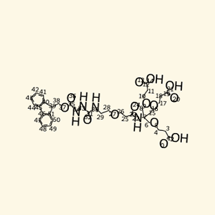 O=C(O)CCOCC(COCCC(=O)O)(COCCC(=O)O)NC(=O)CCOCCNC(=O)NNC(=O)OCC1c2ccccc2-c2ccccc21